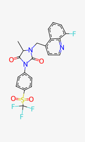 CC1C(=O)N(c2ccc(S(=O)(=O)C(F)(F)F)cc2)C(=O)N1Cc1ccnc2c(F)cccc12